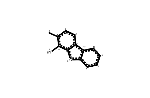 Cc1ccc2c(oc3ccccc32)c1C(C)C